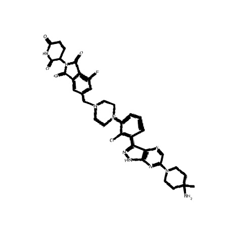 CC1(N)CCN(c2cnc3c(-c4cccc(N5CCN(Cc6cc(F)c7c(c6)C(=O)N(C6CCC(=O)NC6=O)C7=O)CC5)c4Cl)n[nH]c3n2)CC1